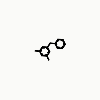 Cc1cc(C)cc(Cc2ccccc2)c1